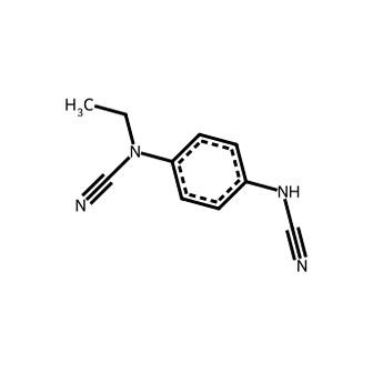 CCN(C#N)c1ccc(NC#N)cc1